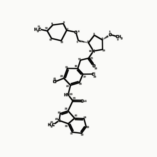 CO[C@H]1C[C@@H](COC2CCC(C)CC2)N(C(=O)Cc2cc(Cl)c(NC(=O)c3cn(C)c4ccccc34)cc2Cl)C1